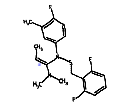 C/C=C(/N(C)C)N(SCc1c(F)cccc1F)c1ccc(F)c(C)c1